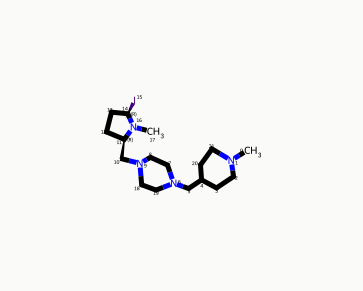 CN1CCC(CN2CCN(C[C@H]3CC[C@@H](I)N3C)CC2)CC1